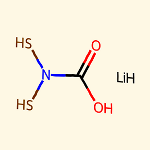 O=C(O)N(S)S.[LiH]